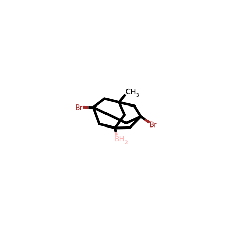 BC12CC3(C)CC(Br)(C1)CC(Br)(C2)C3